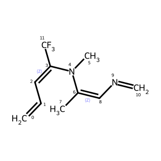 C=C/C=C(\N(C)/C(C)=C\N=C)C(F)(F)F